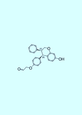 O=CCOc1ccc([C@@H]2c3ccc(O)cc3OC[C@@H]2c2ccccc2)cc1